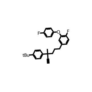 C#CC(C)(CCCc1ccc(F)c(Oc2ccc(F)cc2)c1)c1ccc(C(C)(C)C)cc1